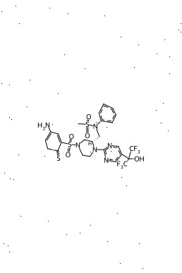 CS(=O)(=O)N(C[C@H]1CN(S(=O)(=O)C2=CC(N)=CCC2=S)CCN1c1ncc(C(O)(C(F)(F)F)C(F)(F)F)cn1)c1ccccc1